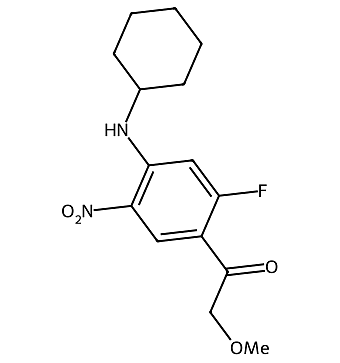 COCC(=O)c1cc([N+](=O)[O-])c(NC2CCCCC2)cc1F